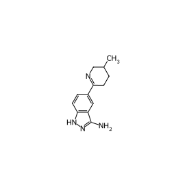 CC1CCC(c2ccc3[nH]nc(N)c3c2)=NC1